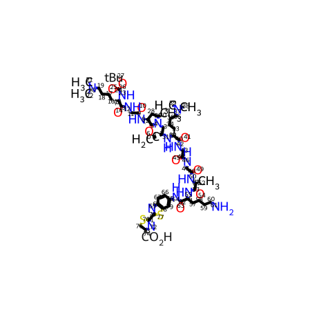 C=C=C(CN1C(=O)[C@@H](NC(=O)CNC(=O)[C@H](CCCCN(C)C)NC(=O)OC(C)(C)C)CC1C)N[C@@H](CCCCN(C)C)C(=O)NCC(=O)NCC(=O)N[C@@H](C)C(=O)NC(CCCCN)C(=O)Nc1ccc2nc(C3=NC(C(=O)O)CS3)sc2c1